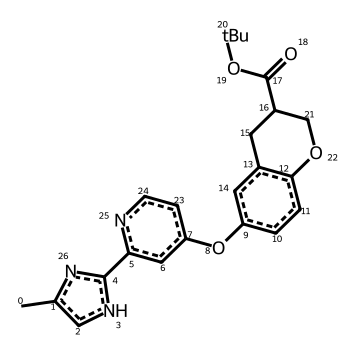 Cc1c[nH]c(-c2cc(Oc3ccc4c(c3)CC(C(=O)OC(C)(C)C)CO4)ccn2)n1